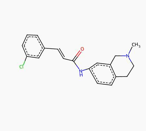 CN1CCc2ccc(NC(=O)/C=C/c3cccc(Cl)c3)cc2C1